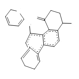 C1=CCOC=C1.CCC1CCC(=O)c2c1ccc1c3c(cc(Br)c21)=CCCC=3